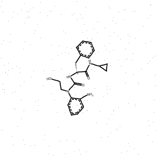 Nc1ccccc1N(CCO)C(=O)N[C@H](Cc1ccccc1)C(=O)NC1CC1